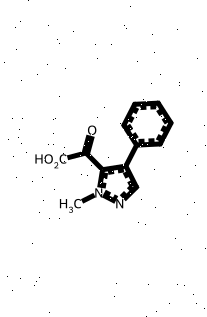 Cn1ncc(-c2ccccc2)c1C(=O)C(=O)O